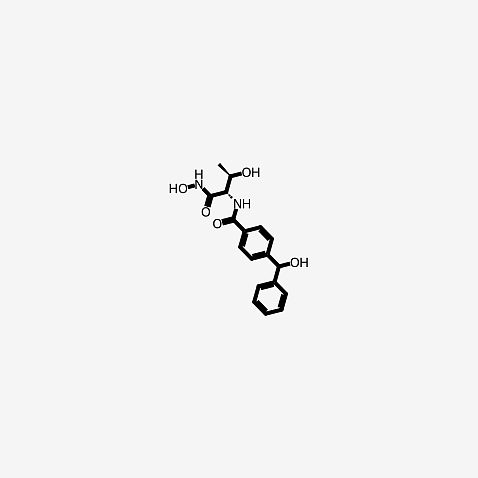 C[C@@H](O)[C@H](NC(=O)c1ccc(C(O)c2ccccc2)cc1)C(=O)NO